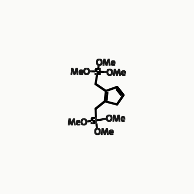 CO[Si](CC1=C(C[Si](OC)(OC)OC)CC=C1)(OC)OC